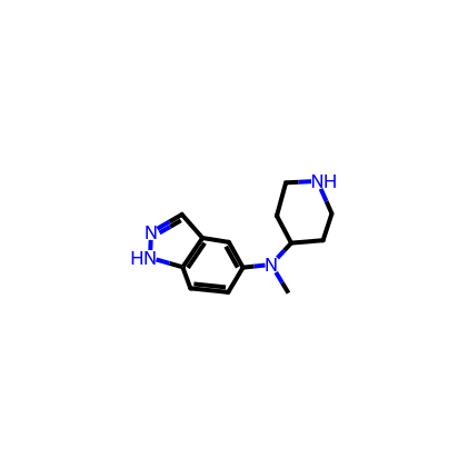 CN(c1ccc2[nH]ncc2c1)C1CCNCC1